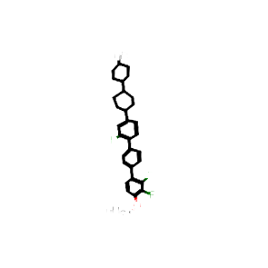 CCCCCCOc1ccc(-c2ccc(-c3ccc(C4CCC(C5CCC(CCC)CC5)CC4)cc3F)cc2)c(F)c1F